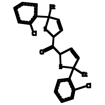 CCC1(c2ccccc2Cl)C=CC(C(=O)C2C=CC(CC)(c3ccccc3Cl)S2)S1